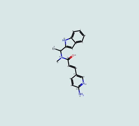 CCC(c1cc2ccccc2[nH]1)N(C)C(=O)C=Cc1ccc(N)nc1